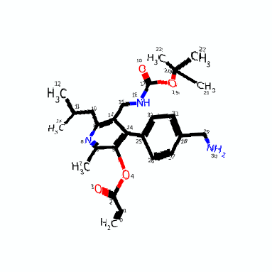 C=CC(=O)Oc1c(C)nc(CC(C)C)c(CNC(=O)OC(C)(C)C)c1-c1ccc(CN)cc1